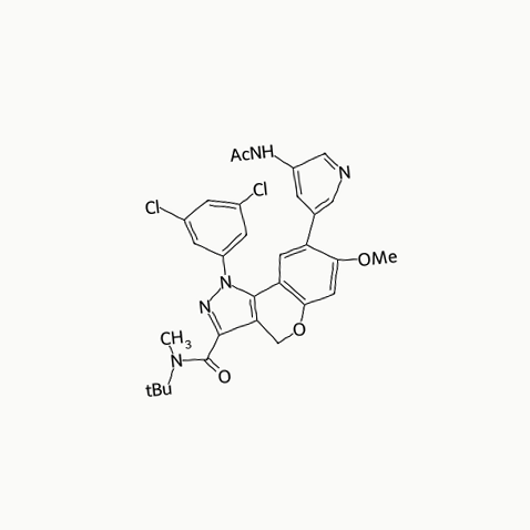 COc1cc2c(cc1-c1cncc(NC(C)=O)c1)-c1c(c(C(=O)N(C)C(C)(C)C)nn1-c1cc(Cl)cc(Cl)c1)CO2